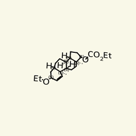 CCOC(=O)O[C@H]1CC[C@H]2[C@@H]3CC[C@H]4C[C@H](OCC)C=C[C@]4(C)[C@H]3CC[C@]12C